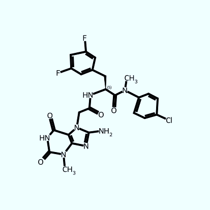 CN(C(=O)[C@H](Cc1cc(F)cc(F)c1)NC(=O)Cn1c(N)nc2c1c(=O)[nH]c(=O)n2C)c1ccc(Cl)cc1